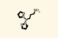 NCCCN(n1cccn1)n1cccn1